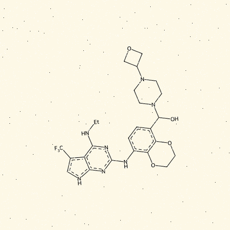 CCNc1nc(Nc2ccc(C(O)N3CCN(C4COC4)CC3)c3c2OCCO3)nc2[nH]cc(C(F)(F)F)c12